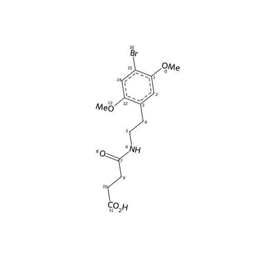 COc1cc(CCNC(=O)CCC(=O)O)c(OC)cc1Br